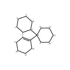 C1=C(C2(C3CCCCC3)CCCCC2)CCCC1